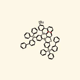 CC(C)(C)c1ccc(N2c3cc([Si](c4ccccc4)(c4ccccc4)c4cccc(-c5ccccc5)c4)ccc3B3c4ccc([Si](c5ccccc5)(c5ccccc5)c5cccc(-c6ccccc6)c5)cc4Sc4cccc2c43)c(-c2ccccc2)c1